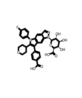 O=C(O)c1ccc(-c2c(C3CCOCC3)n(-c3ccc(F)cc3)c3cc4cnn([C@@H]5O[C@H](C(=O)O)[C@@H](O)[C@H](O)[C@H]5O)c4cc23)cc1